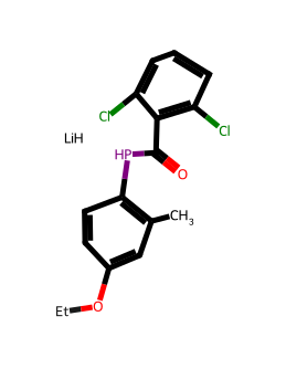 CCOc1ccc(PC(=O)c2c(Cl)cccc2Cl)c(C)c1.[LiH]